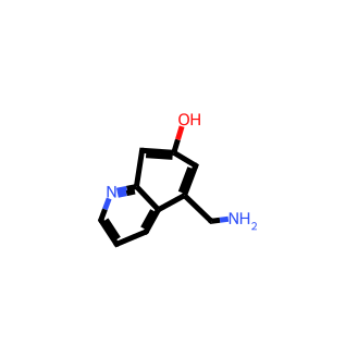 NCc1cc(O)cc2ncccc12